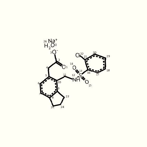 O.O=C([O-])Cc1ccc2c(c1CNS(=O)(=O)c1ccccc1Cl)CCC2.[Na+]